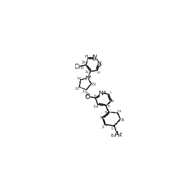 CC(=O)C1CC=C(c2ccnc(O[C@@H]3CCN(c4cnncc4Cl)C3)c2)CC1